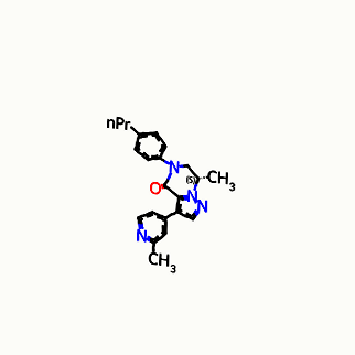 CCCc1ccc(N2C[C@H](C)n3ncc(-c4ccnc(C)c4)c3C2=O)cc1